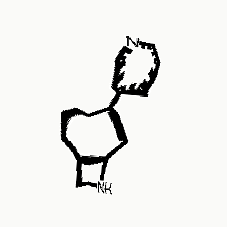 C1=C(c2cccnc2)CCC2CNC12